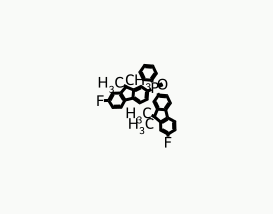 CC1(C)c2cc(F)ccc2-c2ccc(P(=O)(c3ccccc3)c3ccc4c(c3)C(C)(C)c3cc(F)ccc3-4)cc21